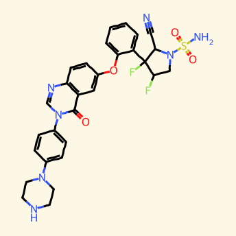 N#CC1N(S(N)(=O)=O)CC(F)C1(F)c1ccccc1Oc1ccc2ncn(-c3ccc(N4CCNCC4)cc3)c(=O)c2c1